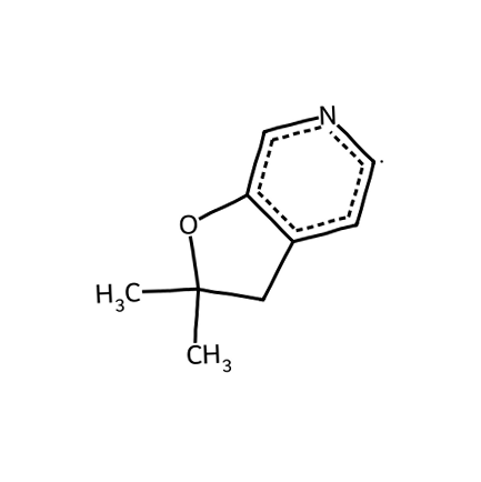 CC1(C)Cc2c[c]ncc2O1